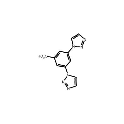 O=C(O)c1cc(-n2ccnn2)cc(-n2ccnn2)c1